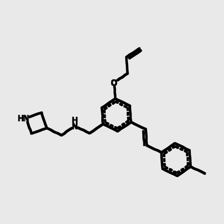 C=CCOc1cc(/C=C/c2ccc(C)cc2)cc(CNCC2CNC2)c1